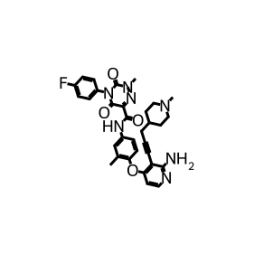 Cc1cc(NC(=O)c2nn(C)c(=O)n(-c3ccc(F)cc3)c2=O)ccc1Oc1ccnc(N)c1C#CCC1CCN(C)CC1